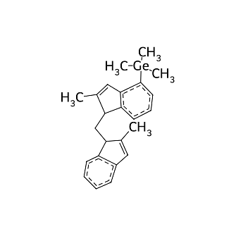 CC1=Cc2ccccc2C1CC1C(C)=Cc2c1ccc[c]2[Ge]([CH3])([CH3])[CH3]